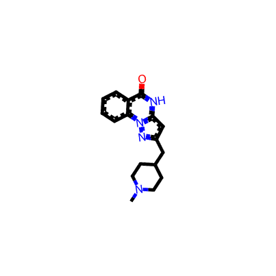 CN1CCC(Cc2cc3[nH]c(=O)c4ccccc4n3n2)CC1